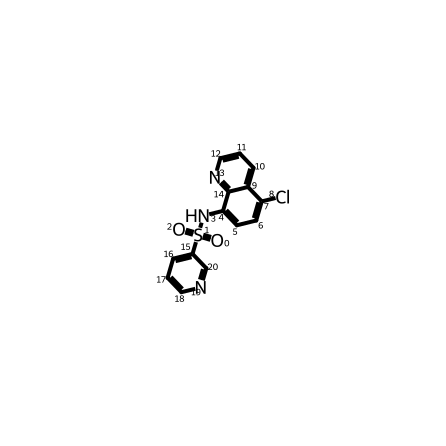 O=S(=O)(Nc1ccc(Cl)c2cccnc12)c1cccnc1